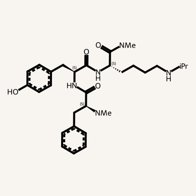 CNC(=O)[C@H](CCCCNC(C)C)NC(=O)[C@H](Cc1ccc(O)cc1)NC(=O)[C@H](Cc1ccccc1)NC